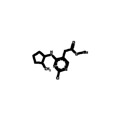 CC1CCCC1Nc1nc(Cl)ncc1CC(=O)OC(C)(C)C